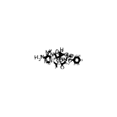 CC(C)OC(=O)[C@@H](C)NP(=O)(Oc1ccccc1)OC1[C@H]2O[C@@H](n3cnc4c(N)ncnc43)[C@](C)(Cl)[C@@]12O